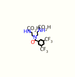 O=C(O)NCCN(CCNC(=O)O)C(=O)c1cc(C(F)(F)F)cc(C(F)(F)F)c1